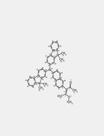 CO/C(C)=C(\C(C)=O)c1ccc2cc(N(c3ccc4c(c3)C(C)(C)c3ccccc3-4)c3ccc4c(c3)C(C)(C)c3ccccc3-4)ccc2c1